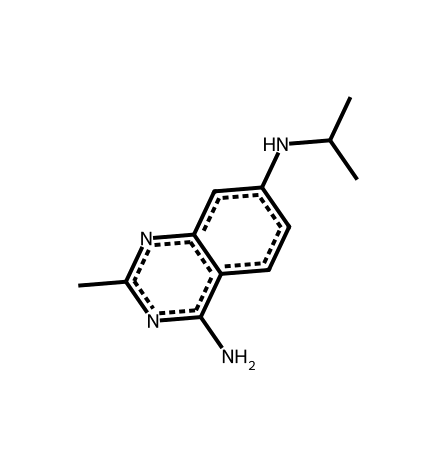 Cc1nc(N)c2ccc(NC(C)C)cc2n1